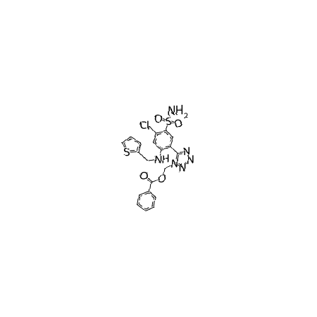 NS(=O)(=O)c1cc(-c2nnnn2COC(=O)c2ccccc2)c(NCc2cccs2)cc1Cl